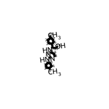 Cc1ccc(Nc2nccc(NC(CO)c3ccc(C)cc3)n2)cc1